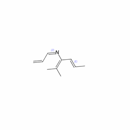 C=C/C=N\C(/C=C/C)=C(C)C